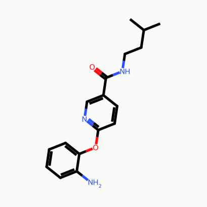 CC(C)CCNC(=O)c1ccc(Oc2ccccc2N)nc1